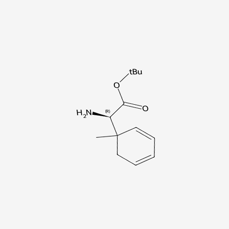 CC(C)(C)OC(=O)[C@H](N)C1(C)C=CC=CC1